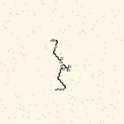 CCCC/C=C\COCC/C=C\CCCCC(=O)OC[C@H](CCN(CC)CC)OC(=O)CCCC/C=C\CCCC/C=C\CCCCC